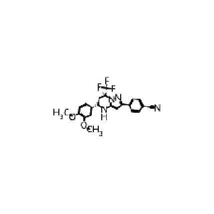 COc1ccc([C@@H]2C[C@H](C(F)(F)F)n3nc(-c4ccc(C#N)cc4)cc3N2)cc1OC